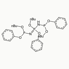 CCCCOP(N=P(NP(OCCCC)Oc1ccccc1)(OCCCC)Oc1ccccc1)Oc1ccccc1